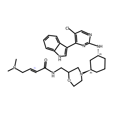 CN(C)C/C=C/C(=O)NCC1CN([C@@H]2CCC[C@@H](Nc3ncc(Cl)c(-c4c[nH]c5ccccc45)n3)C2)CCO1